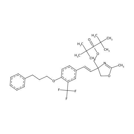 CC1=NC(C=Cc2ccc(OCCCc3ccccc3)c(C(F)(F)F)c2)(COP(=O)(C(C)(C)C)C(C)(C)C)CO1